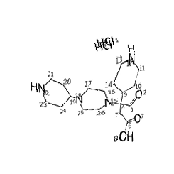 Cl.Cl.O=CC(CC(=O)O)(C1CCNCC1)N1CCN(C2CCNCC2)CC1